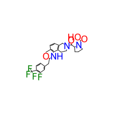 Cc1ccc2c(c1NC(=O)Cc1ccc(C(F)(F)F)c(F)c1)CCN(C(=O)C1CCCN1C(=O)O)C2